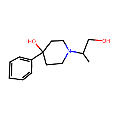 CC(CO)N1CCC(O)(c2ccccc2)CC1